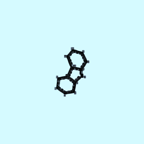 [c]1cccc2c1sc1ccccc12